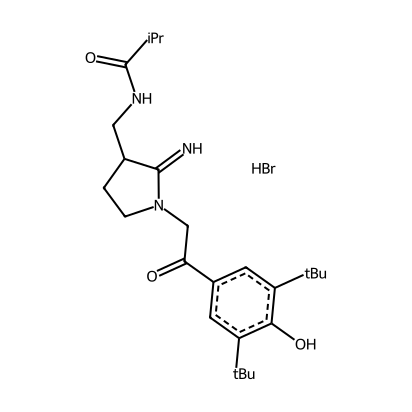 Br.CC(C)C(=O)NCC1CCN(CC(=O)c2cc(C(C)(C)C)c(O)c(C(C)(C)C)c2)C1=N